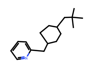 CC(C)(C)CC1CCC(Cc2ccccn2)CC1